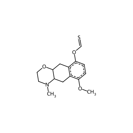 COc1ccc(OC=S)c2c1CC1C(C2)OCCN1C